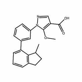 COc1c(C(=O)O)cnn1-c1cccc(-c2cccc3c2C(C)CC3)c1